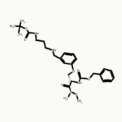 CON(C)C(=O)[C@H](COc1cccc(CNCCCNC(=O)OC(C)(C)C)c1)NC(=O)OCc1ccccc1